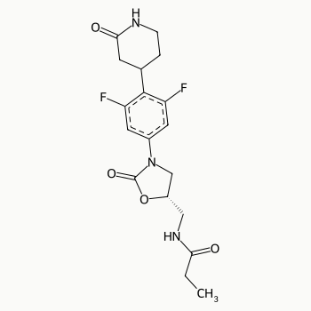 CCC(=O)NC[C@H]1CN(c2cc(F)c(C3CCNC(=O)C3)c(F)c2)C(=O)O1